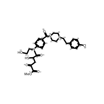 COC(=O)C(=O)CC(S)C(=O)N(CCO)c1ccc(C(=O)N2CCN(CCc3ccc(Cl)cc3)CC2)cc1